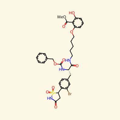 COC(=O)c1c(O)cccc1OCCCCCNC(=O)[C@H](Cc1ccc(C2CC(=O)NS2(=O)=O)c(Br)c1)NC(=O)OCc1ccccc1